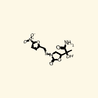 CC(O)(C(N)=O)C1CN(N=Cc2ccc([N+](=O)[O-])o2)C(=O)O1